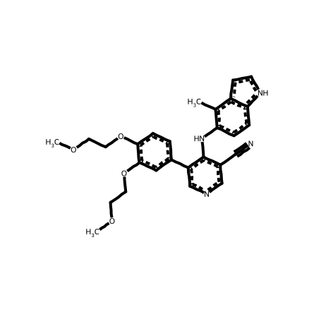 COCCOc1ccc(-c2cncc(C#N)c2Nc2ccc3[nH]ccc3c2C)cc1OCCOC